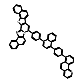 c1ccc2c(c1)ccc1c2nc2c3sc4c5ccccc5ccc4c3cc(-c3ccc(-c4ccc(-c5ccc(-c6cccc7c6ccc6cccnc67)cc5)c5ccccc45)cc3)n12